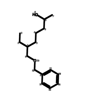 CCC(CCCC(C)O)COCc1ccccc1